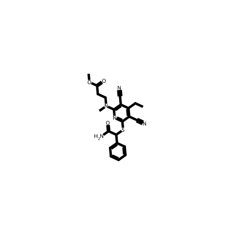 CCc1c(C#N)c(SC(C(N)=O)c2ccccc2)nc(N(C)CCC(=O)OC)c1C#N